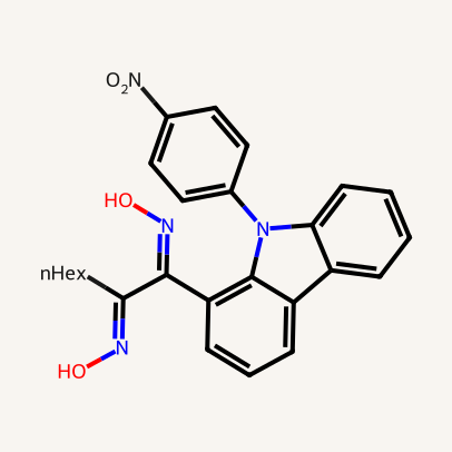 CCCCCCC(=NO)C(=NO)c1cccc2c3ccccc3n(-c3ccc([N+](=O)[O-])cc3)c12